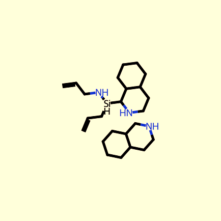 C1CCC2CNCCC2C1.C=CCN[SiH](CC=C)C1NCCC2CCCCC21